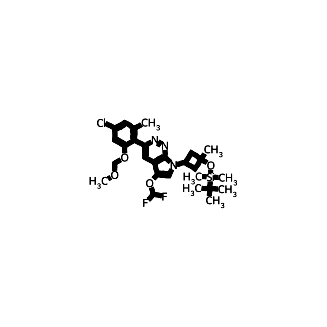 COCOc1cc(Cl)cc(C)c1-c1cc2c(OC(F)F)cn(C3CC(C)(O[Si](C)(C)C(C)(C)C)C3)c2nn1